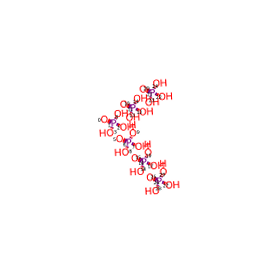 O=P(O)(O)O.O=P(O)(O)O.O=P(O)(O)O.O=P(O)(O)O.O=P(O)(O)O.O=P(O)(O)O